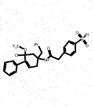 CCS(=O)(=O)c1ccc(CC(=O)NC2(CC(C)C)CC=C(c3ccccc3)C(Cl)(OC(F)(F)F)C2)cc1